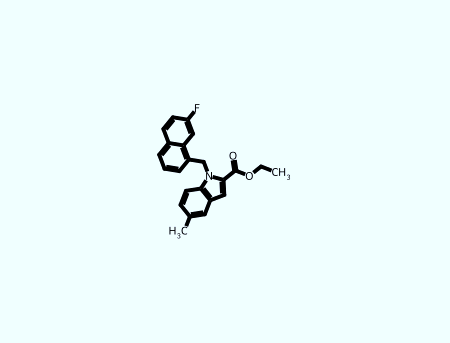 CCOC(=O)c1cc2cc(C)ccc2n1Cc1cccc2ccc(F)cc12